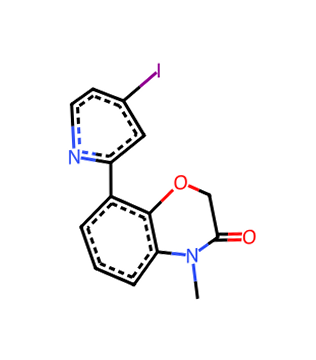 CN1C(=O)COc2c(-c3cc(I)ccn3)cccc21